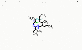 C\C=C(Cl)/C=N\C(NCC(CCC)C(C)CC(F)(F)CC)=C(\C)CC